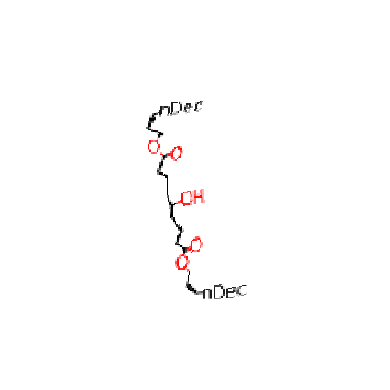 CCCCCCCCCC/C=C\COC(=O)CCCC(O)CCCC(=O)OC/C=C\CCCCCCCCCC